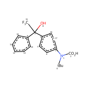 CC(C)(C)N(C(=O)O)c1ccc(C(O)(c2ccccc2)C(F)(F)F)cc1